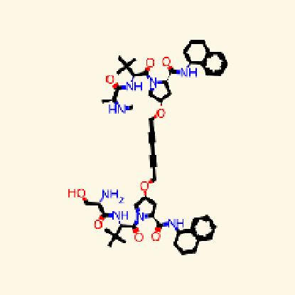 CN[C@@H](C)C(=O)N[C@H](C(=O)N1C[C@@H](OCC#CC#CCO[C@H]2C[C@@H](C(=O)NC3CCCc4ccccc43)N(C(=O)[C@@H](NC(=O)[C@@H](N)CO)C(C)(C)C)C2)C[C@H]1C(=O)N[C@@H]1CCCc2ccccc21)C(C)(C)C